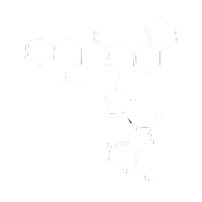 CCCCCOC(=O)C(Cc1ccccc1)NP(OCC1CC[C@H](n2c(Cl)nc3c(N)ncnc32)O1)Oc1cccc2ccccc12